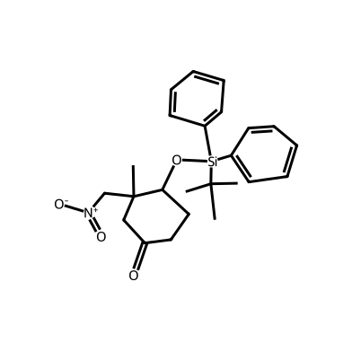 CC1(C[N+](=O)[O-])CC(=O)CCC1O[Si](c1ccccc1)(c1ccccc1)C(C)(C)C